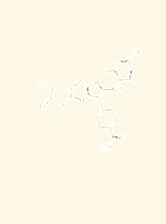 CC[C@@H](CO)Nc1ncc2nc(Nc3c(F)cc(C#N)cc3F)n(C3CCC(C(N)=O)CC3)c2n1